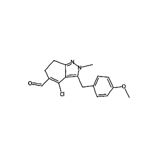 COc1ccc(Cc2c3c(nn2C)CCC(C=O)=C3Cl)cc1